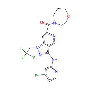 O=C(c1cc2c(cn1)c(Nc1cc(F)ccn1)nn2CC(F)(F)F)N1CCCOCC1